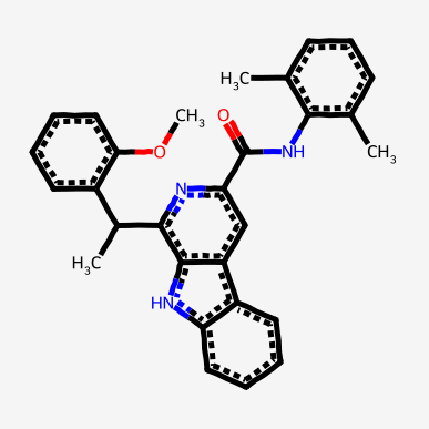 COc1ccccc1C(C)c1nc(C(=O)Nc2c(C)cccc2C)cc2c1[nH]c1ccccc12